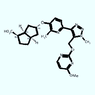 COc1ccnc(OCc2c(-c3ccc(O[C@@H]4C[C@H]5CC[C@@H](C(=O)O)[C@H]5C4)c(C)n3)nnn2C)n1